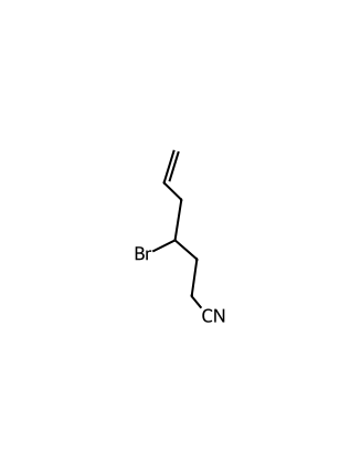 C=CCC(Br)CCC#N